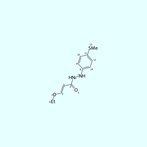 CCOC=CC(=O)NNc1ccc(SC)cc1